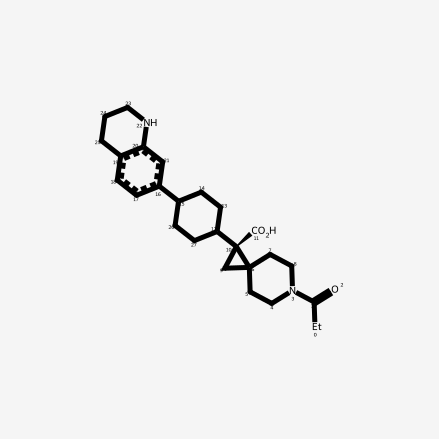 CCC(=O)N1CCC2(CC1)C[C@]2(C(=O)O)C1CCC(c2ccc3c(c2)NCCC3)CC1